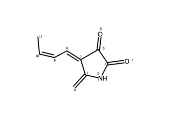 C=C1NC(=O)C(=O)/C1=C/C=C\C